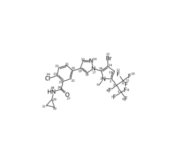 Cn1c(C(F)(C(F)(F)F)C(F)(F)F)cc(Br)c1-n1cc(-c2ccc(Cl)c(C(=O)NC3CC3)c2)cn1